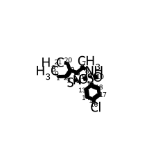 CCc1snc(C(C)NS(=O)(=O)c2ccc(Cl)cc2)c1CC